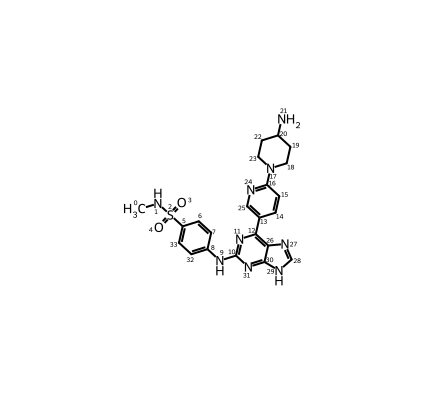 CNS(=O)(=O)c1ccc(Nc2nc(-c3ccc(N4CCC(N)CC4)nc3)c3nc[nH]c3n2)cc1